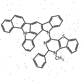 CN1c2c(sc3ccccc23)C(n2c3ccccc3c3cc4c5ccc6ccccc6c5n5c6ccccc6c(c32)c45)=NC1c1ccccc1